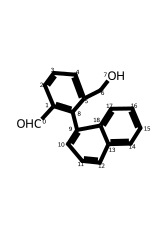 O=Cc1cccc(CO)c1-c1cccc2ccccc12